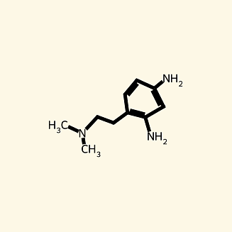 CN(C)CCc1ccc(N)cc1N